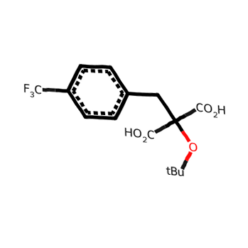 CC(C)(C)OC(Cc1ccc(C(F)(F)F)cc1)(C(=O)O)C(=O)O